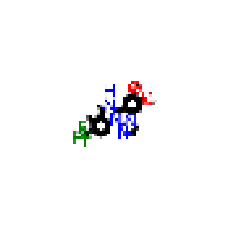 COc1cc2c(cc1OC)N1CCN=C1N=C2N[C@H](C)c1cccc(C(F)(F)F)c1C